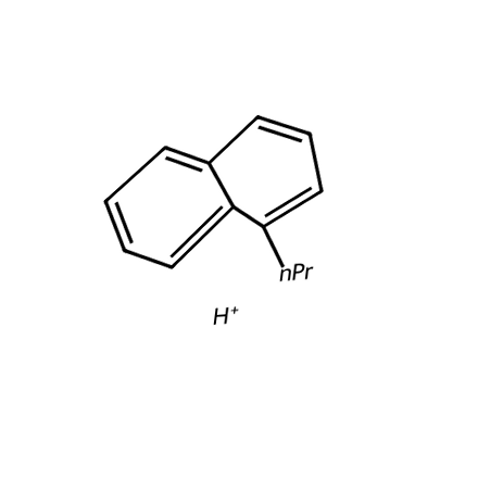 CCCc1cccc2ccccc12.[H+]